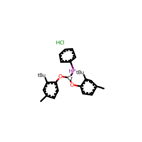 Cc1ccc([O][Cr]([O]c2ccc(C)cc2C(C)(C)C)[PH]c2ccccc2)c(C(C)(C)C)c1.Cl